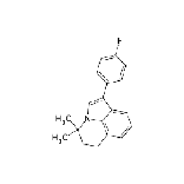 CC1(C)CCc2cccc3c(-c4ccc(F)cc4)cn1c23